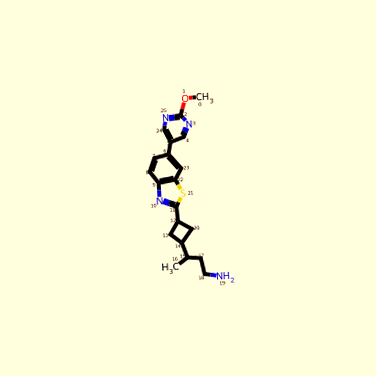 COc1ncc(-c2ccc3nc(C4CC(C(C)CCN)C4)sc3c2)cn1